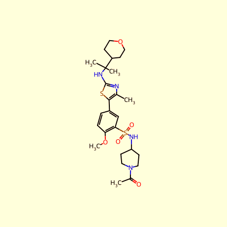 COc1ccc(-c2sc(NC(C)(C)C3CCOCC3)nc2C)cc1S(=O)(=O)NC1CCN(C(C)=O)CC1